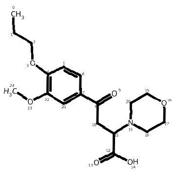 CCCOc1ccc(C(=O)CC(C(=O)O)N2CCOCC2)cc1OC